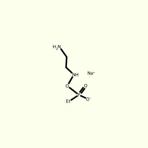 CCP(=O)([O-])ONCCN.[Na+]